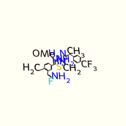 C=Cc1ccc(/C(SC(=C)NCC(N)[C@@H](C)c2ccc(C(F)(F)F)cc2)=C(/N)COC)cc1/C=C(\N)F